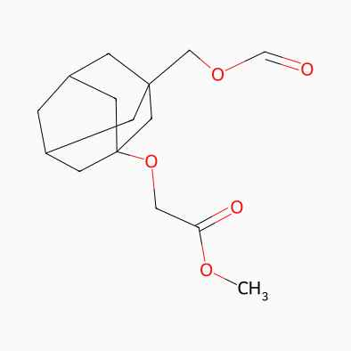 COC(=O)COC12CC3CC(CC(COC=O)(C3)C1)C2